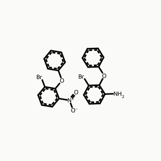 Nc1cccc(Br)c1Oc1ccccc1.O=[N+]([O-])c1cccc(Br)c1Oc1ccccc1